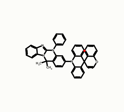 CC1(C)c2ccc(N3c4ccccc4C4(c5ccccc5Oc5ccccc54)c4ccccc43)cc2N(c2ccccc2)c2nc3ccccc3n21